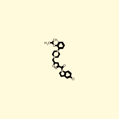 CC(C)Oc1ccccc1N1CCN(CC2CC(C(=O)N3CCc4cc(Cl)ccc43)=NO2)CC1